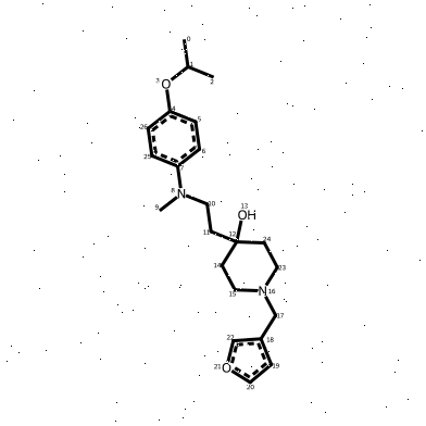 CC(C)Oc1ccc(N(C)CCC2(O)CCN(Cc3ccoc3)CC2)cc1